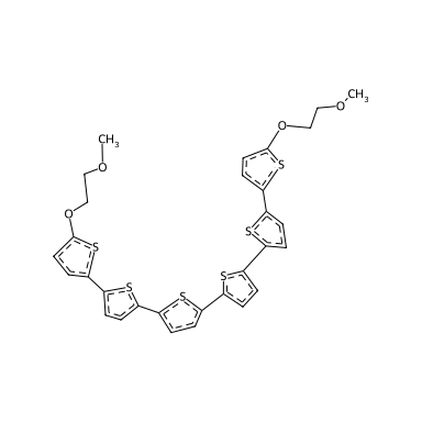 COCCOc1ccc(-c2ccc(-c3ccc(-c4ccc(-c5ccc(-c6ccc(OCCOC)s6)s5)s4)s3)s2)s1